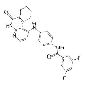 O=C(Nc1ccc(Nc2ccnc3[nH]c(=O)c4c(c23)CCCC4)cc1)c1cc(F)cc(F)c1